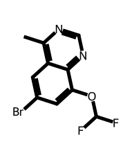 Cc1ncnc2c(OC(F)F)cc(Br)cc12